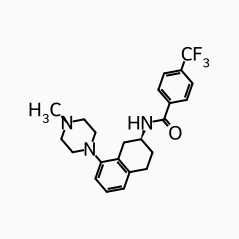 CN1CCN(c2cccc3c2C[C@@H](NC(=O)c2ccc(C(F)(F)F)cc2)CC3)CC1